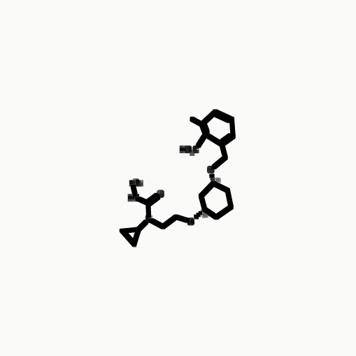 CCCCNC(=O)N(CCO[C@H]1CCC[C@@H](OCc2cccc(C)c2C(=O)O)C1)C1CC1